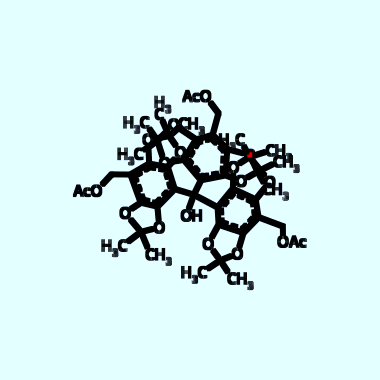 CC(=O)OCc1c2c(c(C(O)(c3c4c(c(COC(C)=O)c5c3OC(C)(C)O5)OC(C)(C)O4)c3c4c(c(COC(C)=O)c5c3OC(C)(C)O5)OC(C)(C)O4)c3c1OC(C)(C)O3)OC(C)(C)O2